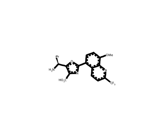 COc1ccc(-c2nc(C(=O)O)c([C@@H](N)C(C)C)o2)c2ccc(C(F)(F)F)nc12